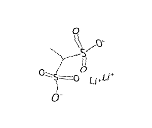 CC(S(=O)(=O)[O-])S(=O)(=O)[O-].[Li+].[Li+]